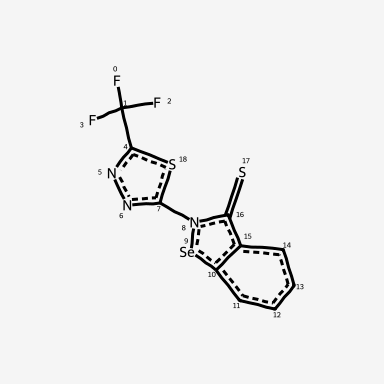 FC(F)(F)c1nnc(-n2[se]c3ccccc3c2=S)s1